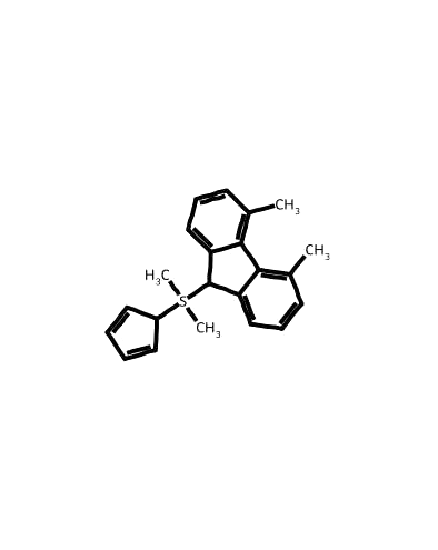 Cc1cccc2c1-c1c(C)cccc1C2S(C)(C)C1C=CC=C1